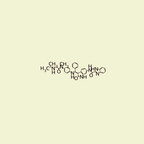 CC(C)NCC(=O)N(C)c1ccc(N/C(=C2\C(=O)Nc3cc(NC(=O)c4nc5ccccc5[nH]4)ccc32)c2ccccc2)cc1